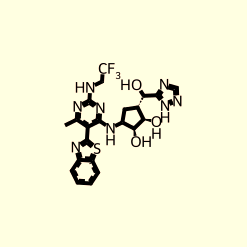 Cc1nc(NCC(F)(F)F)nc(NC2C[C@H](C(O)c3ncn[nH]3)[C@@H](O)[C@H]2O)c1-c1nc2ccccc2s1